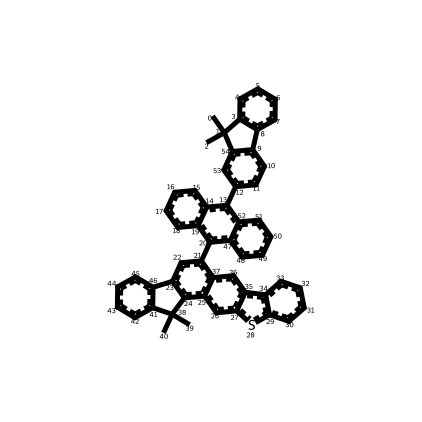 CC1(C)c2ccccc2-c2ccc(-c3c4ccccc4c(-c4cc5c(c6cc7sc8ccccc8c7cc46)C(C)(C)c4ccccc4-5)c4ccccc34)cc21